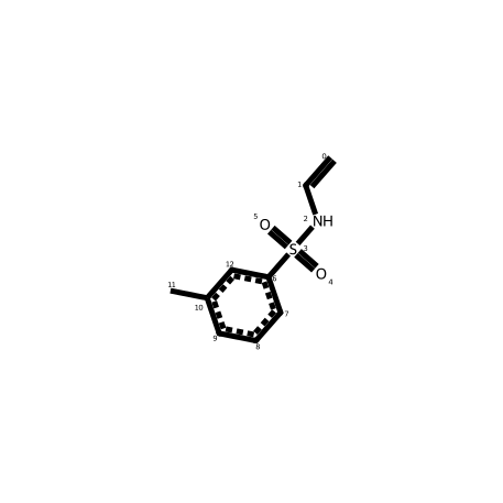 C=CNS(=O)(=O)c1cccc(C)c1